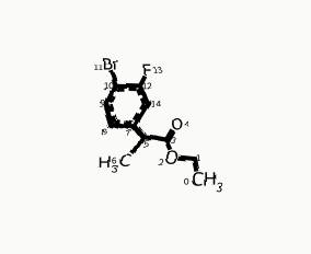 CCOC(=O)C(C)c1ccc(Br)c(F)c1